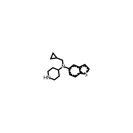 c1cc2cc(N(CC3CC3)C3CCNCC3)ccc2s1